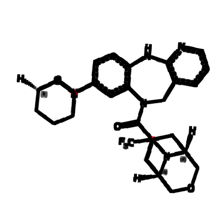 O=C(C1C[C@H]2COC[C@@H](C1)N2CC(F)(F)F)N1Cc2cccnc2Nc2ccc(N3C[C@@H]4CCC3CO4)cc21